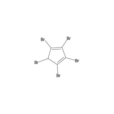 BrC1=C(Br)C(Br)C(Br)=C1Br